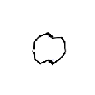 [C]1=C/CCCCC/C=C/CCCC/1